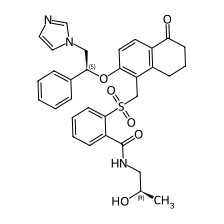 C[C@@H](O)CNC(=O)c1ccccc1S(=O)(=O)Cc1c(O[C@H](Cn2ccnc2)c2ccccc2)ccc2c1CCCC2=O